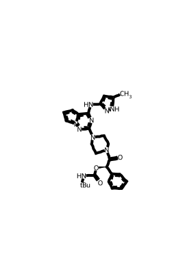 Cc1cc(Nc2nc(N3CCN(C(=O)[C@H](OC(=O)NC(C)(C)C)c4ccccc4)CC3)nn3cccc23)n[nH]1